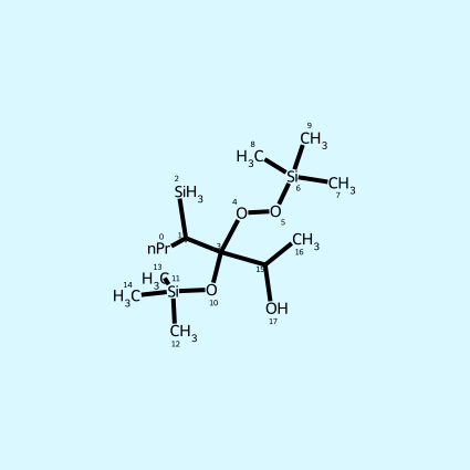 CCC[C]([SiH3])C(OO[Si](C)(C)C)(O[Si](C)(C)C)C(C)O